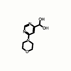 OC(O)c1cc(N2CCOCC2)ncn1